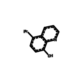 CC(C)c1ccc(O)c2ncccc12